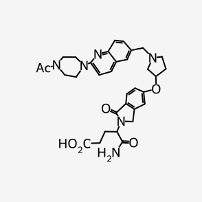 CC(=O)N1CCN(c2ccc3cc(CN4CCC(Oc5ccc6c(c5)CN(C(CCC(=O)O)C(N)=O)C6=O)C4)ccc3n2)CC1